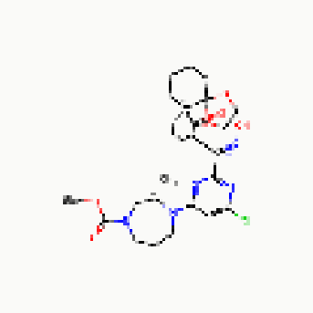 C[C@H]1CN(C(=O)OC(C)(C)C)CCCN1c1cc(Cl)nc(/C(=N/O)C2CCC[C@@]3(CCCCC34OCCO4)C2=O)n1